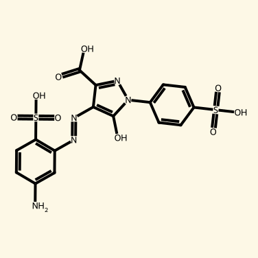 Nc1ccc(S(=O)(=O)O)c(/N=N/c2c(C(=O)O)nn(-c3ccc(S(=O)(=O)O)cc3)c2O)c1